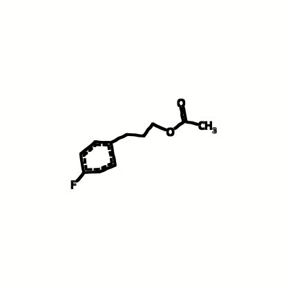 CC(=O)OCCCc1ccc(F)cc1